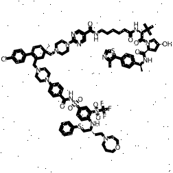 Cc1ncsc1-c1ccc([C@H](C)NC(=O)[C@@H]2C[C@@H](O)CN2C(=O)[C@@H](NC(=O)CCCCCNC(=O)c2cnc(N3CCN(C[C@]4(C)CCC(c5ccc(Cl)cc5)=C(CN5CCN(c6ccc(C(=O)NS(=O)(=O)c7ccc(N[C@H](CCN8CCCOCC8)CSc8ccccc8)c(S(=O)(=O)C(F)(F)F)c7)cc6)CC5)C4)CC3)nc2)C(C)(C)C)cc1